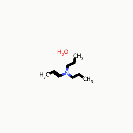 CC=CN(CCC)CCC.O